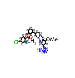 COc1cc(-c2nnn[nH]2)cnc1CN1CCC(c2cccc3c2OC(C)(c2ccc(Cl)cc2F)O3)CC1